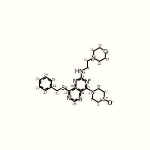 [O-][S+]1CCN(c2nc(NCCN3CCOCC3)nc3c(SCc4ccccc4)ncnc23)CC1